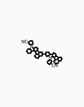 N#Cc1cccc(-n2c3ccccc3c3c4c(ccc32)-c2cc(-c3ccc5c6ccc7c(c6n(-c6cccc(C#N)c6)c5c3)-c3cccc5cccc-7c35)cc3cccc-4c23)c1